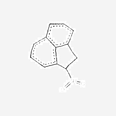 O=[SH](=O)C1Cc2cccc3cccc1c23